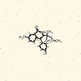 COCC(C)(C)c1[nH]c(=O)c2cc(C)ccc2c1-c1ccc(F)cc1